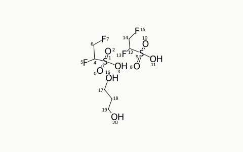 O=S(=O)(O)C(F)CF.O=S(=O)(O)C(F)CF.OCCCO